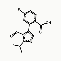 CC(C)n1ncc(-c2cc(F)ccc2C(=O)O)c1C=O